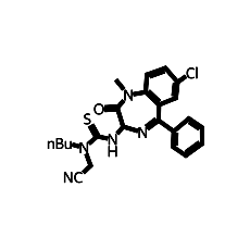 CCCCN(CC#N)C(=S)NC1N=C(c2ccccc2)c2cc(Cl)ccc2N(C)C1=O